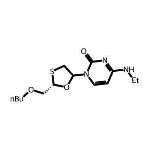 CCCCOC[C@H]1OC(n2ccc(NCC)nc2=O)CS1